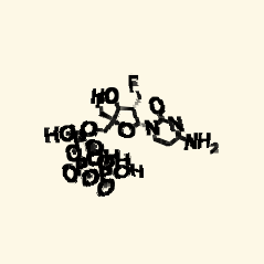 Nc1ccn([C@@H]2O[C@](CF)(COP(=O)(O)OP(=O)(O)OP(=O)(O)O)[C@@H](O)[C@@H]2CF)c(=O)n1